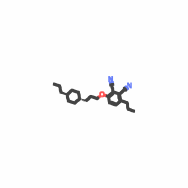 CCCc1ccc(OCCC[C@H]2CC[C@H](CCC)CC2)c(C#N)c1C#N